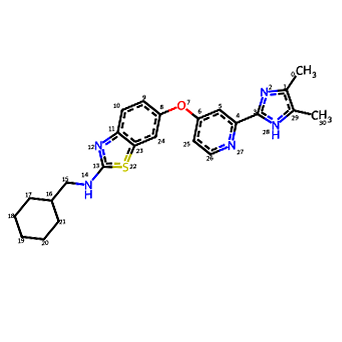 Cc1nc(-c2cc(Oc3ccc4nc(NCC5CCCCC5)sc4c3)ccn2)[nH]c1C